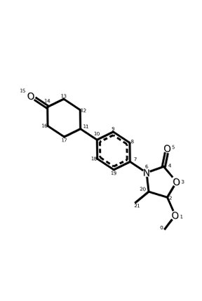 COC1OC(=O)N(c2ccc(C3CCC(=O)CC3)cc2)C1C